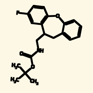 CC(C)(C)OC(=O)NCC1Cc2ccccc2Oc2ccc(F)cc21